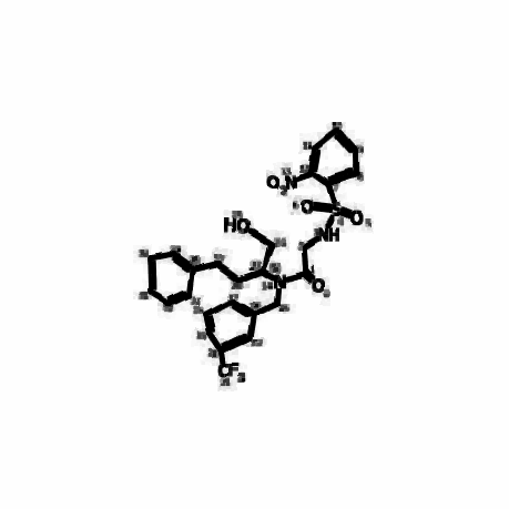 O=C(CNS(=O)(=O)c1ccccc1[N+](=O)[O-])N(Cc1cccc(C(F)(F)F)c1)[C@H](CO)CCc1ccccc1